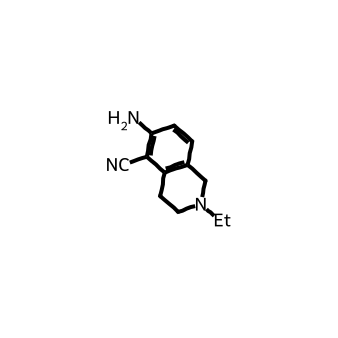 CCN1CCc2c(ccc(N)c2C#N)C1